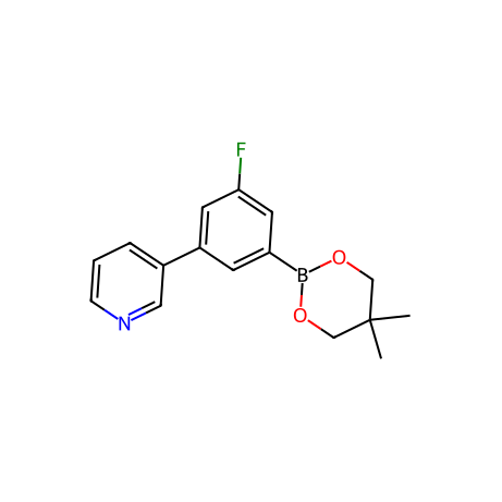 CC1(C)COB(c2cc(F)cc(-c3cccnc3)c2)OC1